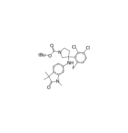 CN1C(=O)C(C)(C)c2ccc(NC3(c4c(F)ccc(Cl)c4Cl)CCN(C(=O)OC(C)(C)C)C3)cc21